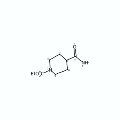 CCOC(=O)N1CCC(C([NH])=O)CC1